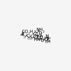 NC(=O)[C@@H]1CCCN1C(=O)[C@H](CCCCCCC[C@@H]1C[C@@H]1C(=O)O)NC(=O)O[C@@H]1C[C@@H]2C[C@@H]2C1